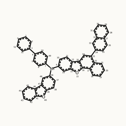 c1ccc(-c2ccc(N(c3ccc4c(c3)oc3c5ccccc5c(-c5ccc6ccccc6c5)cc43)c3ccc4oc5ccccc5c4c3)cc2)cc1